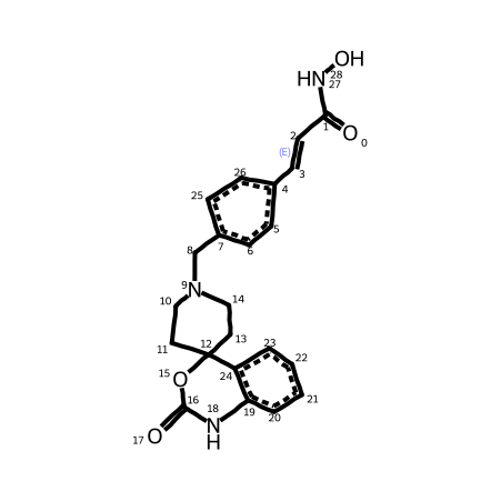 O=C(/C=C/c1ccc(CN2CCC3(CC2)OC(=O)Nc2ccccc23)cc1)NO